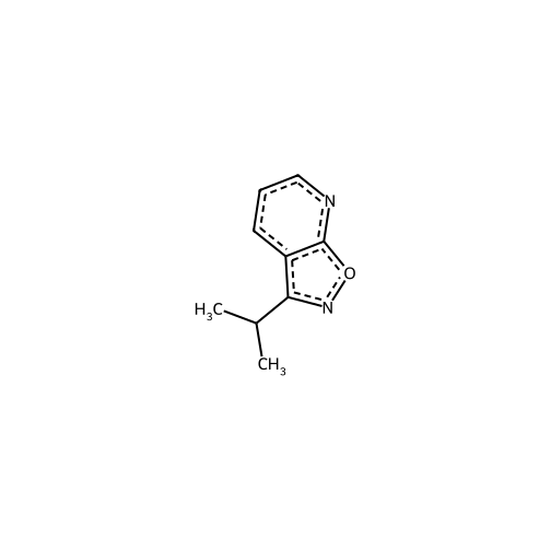 CC(C)c1noc2ncccc12